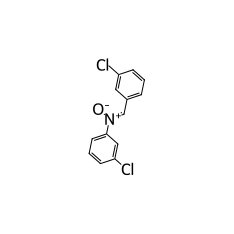 [O-][N+](=Cc1cccc(Cl)c1)c1cccc(Cl)c1